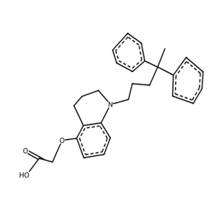 CC(CCCN1CCCc2c(OCC(=O)O)cccc21)(c1ccccc1)c1ccccc1